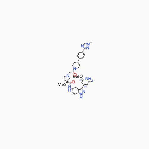 C=C/C=C(\C=C(/N)OC)c1n[nH]c2c1CC(NC(=O)[C@]1(SC)CCN(CC(=O)N3CC=C(c4ccc(-c5ncn(C)n5)cc4)CC3)C1)C=C2